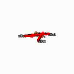 CCCCCCCCC=CCCCCCCCC(=O)OCCOCCOCCOCC[N+](C)(C)CC(COC(=O)CCCCCCC/C=C\CCCCCCCC)OCC(=O)CCCCCC/C=C\CCCCCCCC.[Br-]